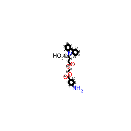 Nc1ccc(C(=O)OCCOC(=O)CC[C@@H](C(=O)O)n2c3ccccc3c3ccccc32)cc1